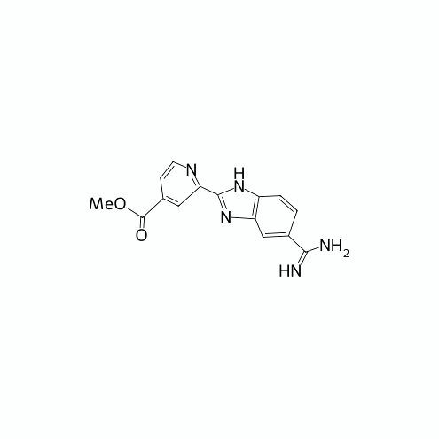 COC(=O)c1ccnc(-c2nc3cc(C(=N)N)ccc3[nH]2)c1